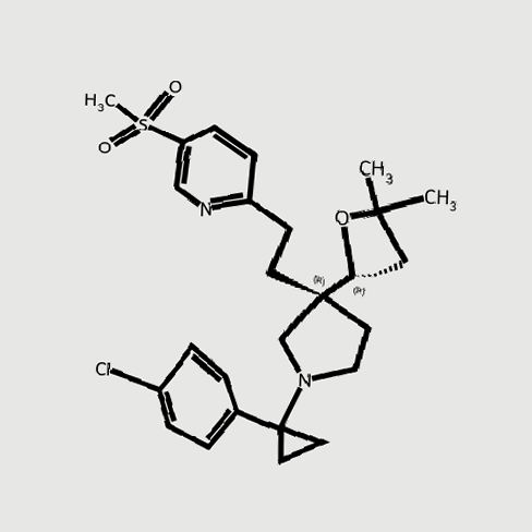 CC1(C)C[C@H]([C@]2(CCc3ccc(S(C)(=O)=O)cn3)CCN(C3(c4ccc(Cl)cc4)CC3)C2)O1